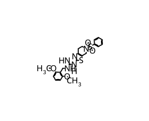 COc1cccc(OC)c1CNC(=N)Nc1nc2c(s1)CN(S(=O)(=O)c1ccccc1)CC2